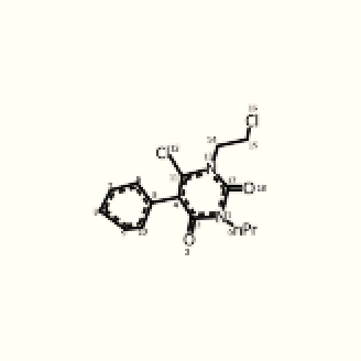 CCCn1c(=O)c(-c2ccccc2)c(Cl)n(CCCl)c1=O